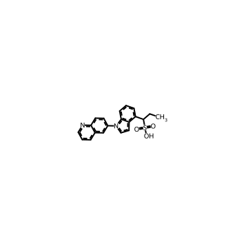 CCC(c1cccc2c1ccn2-c1ccc2ncccc2c1)S(=O)(=O)O